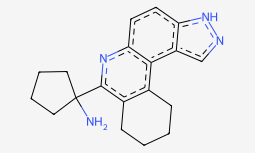 NC1(c2nc3ccc4[nH]ncc4c3c3c2CCCC3)CCCC1